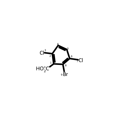 O=C(O)c1c(Cl)ccc(Cl)c1Br